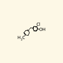 CC1=CC[C@@H](Cc2ccc(O)c(Cl)c2)CC1